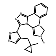 CC1(Cc2cnnn2-c2nnc3n2C2=CN(Cl)CN2c2ccccc2-3)CC1